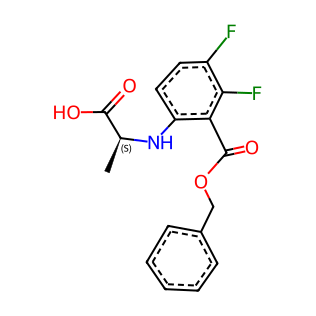 C[C@H](Nc1ccc(F)c(F)c1C(=O)OCc1ccccc1)C(=O)O